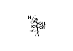 COC(=O)[C@@H](O)[C@@H](O)[C@H](O)[C@@H](O)C=O.[Na]